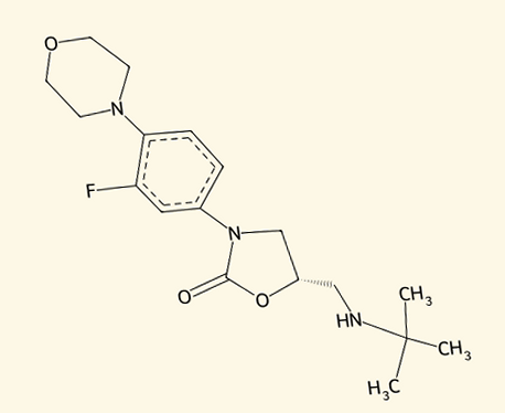 CC(C)(C)NC[C@H]1CN(c2ccc(N3CCOCC3)c(F)c2)C(=O)O1